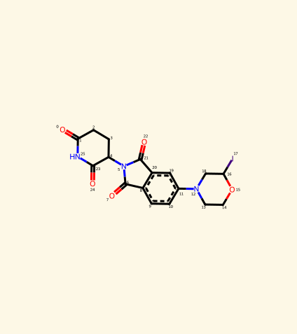 O=C1CCC(N2C(=O)c3ccc(N4CCOC(I)C4)cc3C2=O)C(=O)N1